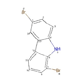 Brc1ccc2[nH]c3c(Br)cccc3c2c1